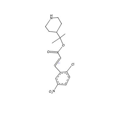 CC(C)(OC(=O)/C=C/c1cc([N+](=O)[O-])ccc1Cl)C1CCNCC1